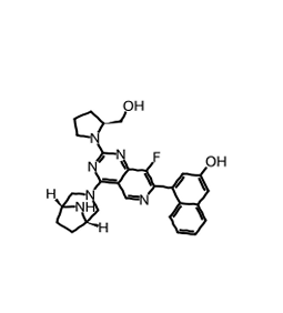 OC[C@@H]1CCCN1c1nc(N2C[C@H]3CC[C@@H](C2)N3)c2cnc(-c3cc(O)cc4ccccc34)c(F)c2n1